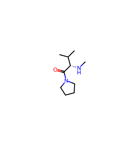 CN[C@H](C(=O)N1CCCC1)C(C)C